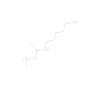 CNCC(=O)NCCCCCS